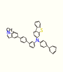 Cn1ccc2cc(-c3ccc(-c4cccc(N(c5ccc(-c6ccccc6)cc5)c5ccc6c(c5)sc5ccccc56)c4)cc3)ccc21